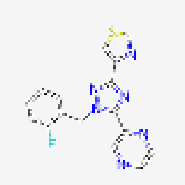 Fc1ccccc1Cn1nc(-c2cscn2)nc1-c1cnccn1